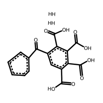 O=C(O)c1cc(C(=O)c2ccccc2)c(C(=O)O)c(C(=O)O)c1C(=O)O.[HH].[HH]